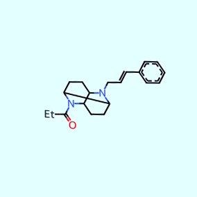 CCC(=O)N1C2CCC3C1CCC2N3CC=Cc1ccccc1